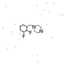 Fc1cccc(CN2CC[N]CC2)c1F